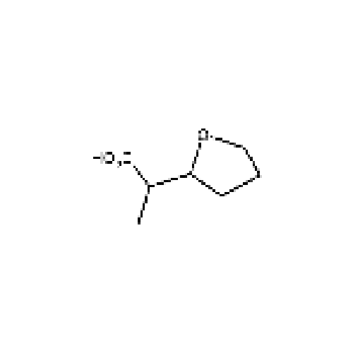 CC(C(=O)O)C1CCCO1